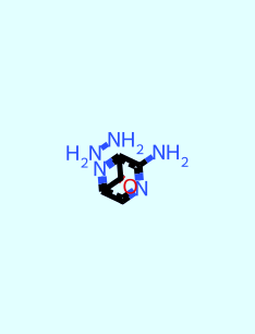 NN.Nc1ncc2nc1C2=O